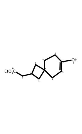 CCOC(=O)CC1CC2(CC=C(O)CC2)C1